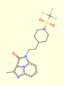 Cc1nc2cccc3n(CCC4CCN(S(=O)(=O)C(F)(F)F)CC4)c(=O)c1n23